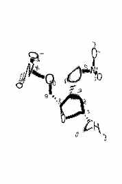 C[C@H]1C[C@@H](O[N+](=O)[O-])[C@@H](CO[N+](=O)[O-])O1